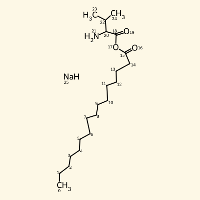 CCCCCCCCCCCCCCCC(=O)OC(=O)C(N)C(C)C.[NaH]